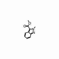 COC(=O)c1c2ccccc2nn1C